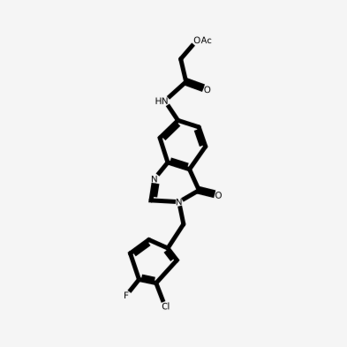 CC(=O)OCC(=O)Nc1ccc2c(=O)n(Cc3ccc(F)c(Cl)c3)cnc2c1